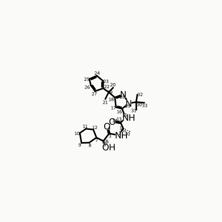 C[C@H](NC(=O)[C@@H](O)C1CCCCC1)C(=O)Nc1cc(C(C)(C)c2ccccc2)nn1C(C)(C)C